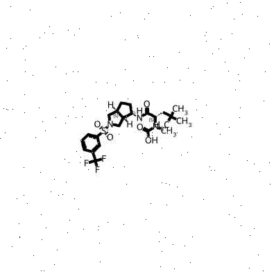 CN(C(=O)O)[C@@H](CC(C)(C)C)C(=O)N[C@H]1CC[C@@H]2CN(S(=O)(=O)c3cccc(C(F)(F)F)c3)C[C@@H]21